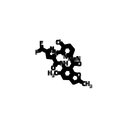 CNC(=O)c1c(NC(=O)c2cc(C(F)F)nn2-c2ncccc2Cl)c(C)cc2c1OC(C)C2